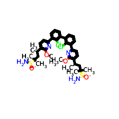 COc1nc(-c2cccc(-c3cccc(-c4ccc([C@@H](C)CC(C)(C)[S+](N)[O-])c(OC)n4)c3Cl)c2Cl)ccc1[C@@H](C)CC(C)(C)[S+](N)[O-]